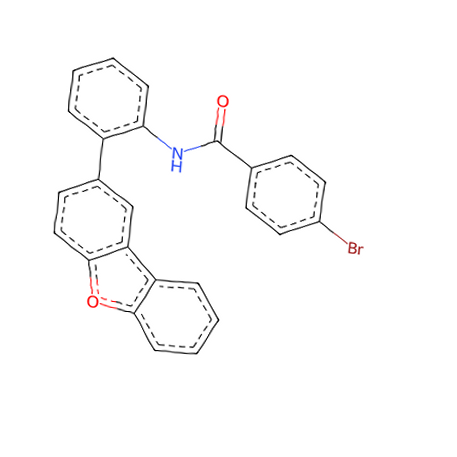 O=C(Nc1ccccc1-c1ccc2oc3ccccc3c2c1)c1ccc(Br)cc1